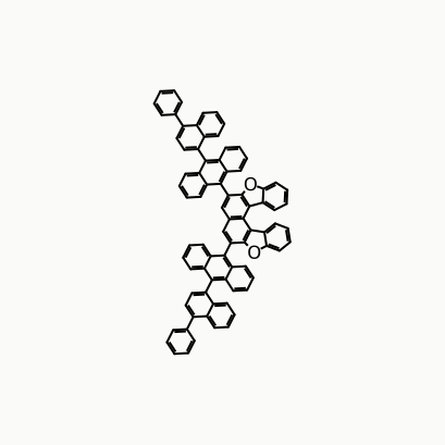 c1ccc(-c2ccc(-c3c4ccccc4c(-c4cc5cc(-c6c7ccccc7c(-c7ccc(-c8ccccc8)c8ccccc78)c7ccccc67)c6oc7ccccc7c6c5c5c4oc4ccccc45)c4ccccc34)c3ccccc23)cc1